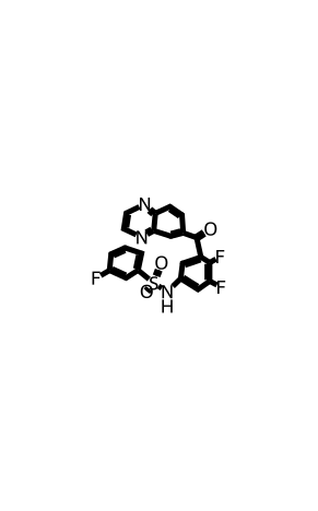 O=C(c1ccc2nccnc2c1)c1cc(NS(=O)(=O)c2cccc(F)c2)cc(F)c1F